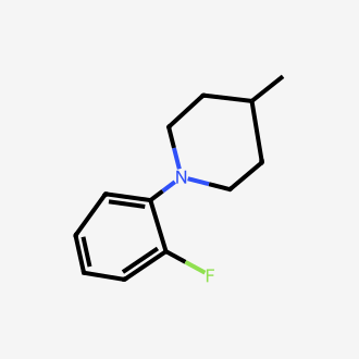 CC1CCN(c2ccccc2F)CC1